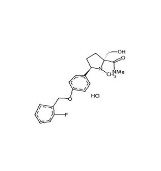 CNC(=O)[C@]1(CO)CC[C@H](c2ccc(OCc3ccccc3F)cc2)N1C.Cl